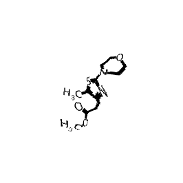 COC(=O)Cc1nc(N2CCOCC2)sc1C